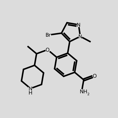 CC(Oc1ccc(C(N)=O)cc1-c1c(Br)cnn1C)C1CCNCC1